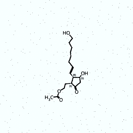 CC(=O)OCC[C@@H]1C(=O)C[C@H](O)[C@@H]1C=CCCCCCCO